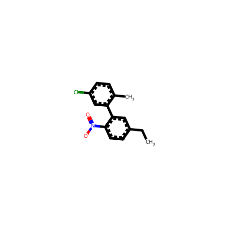 CCc1[c]cc([N+](=O)[O-])c(-c2cc(Cl)ccc2C)c1